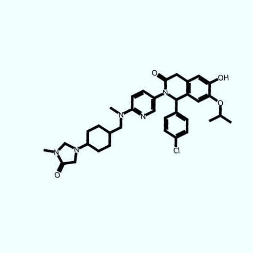 CC(C)Oc1cc2c(cc1O)CC(=O)N(c1ccc(N(C)CC3CCC(N4CC(=O)N(C)C4)CC3)nc1)C2c1ccc(Cl)cc1